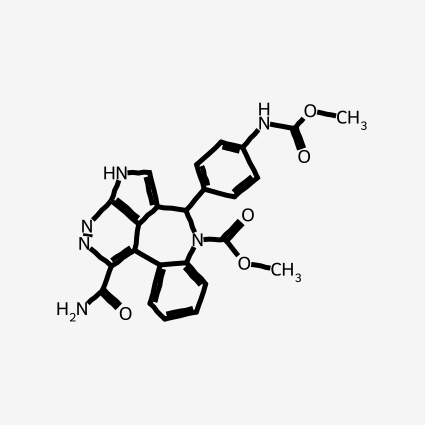 COC(=O)Nc1ccc(C2c3c[nH]c4nnc(C(N)=O)c(c34)-c3ccccc3N2C(=O)OC)cc1